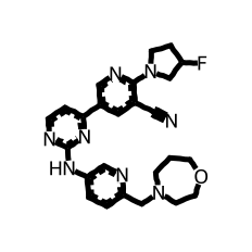 N#Cc1cc(-c2ccnc(Nc3ccc(CN4CCCOCC4)nc3)n2)cnc1N1CCC(F)C1